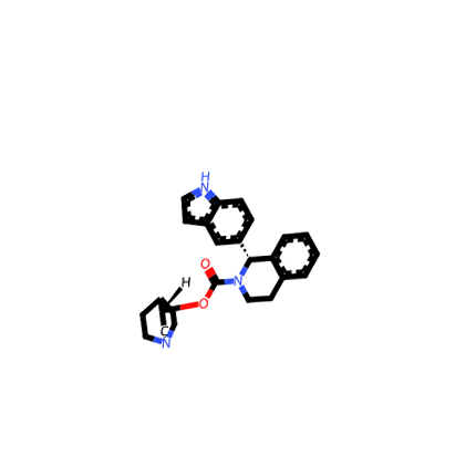 O=C(O[C@@H]1CN2CCC1CC2)N1CCc2ccccc2[C@H]1c1ccc2[nH]ccc2c1